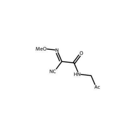 CO/N=C(\C#N)C(=O)NCC(C)=O